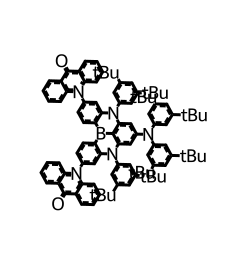 CC(C)(C)c1cc(N(c2cc(C(C)(C)C)cc(C(C)(C)C)c2)c2cc3c4c(c2)N(c2cc(C(C)(C)C)cc(C(C)(C)C)c2)c2cc(-n5c6ccccc6c(=O)c6ccccc65)ccc2B4c2ccc(-n4c5ccccc5c(=O)c5ccccc54)cc2N3c2cc(C(C)(C)C)cc(C(C)(C)C)c2)cc(C(C)(C)C)c1